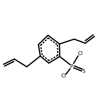 C=CCc1ccc(CC=C)c(P(=S)(Cl)Cl)c1